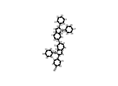 Fc1ccc(-c2cc3ccc(-c4ccc5cc(-c6ccccc6)n(-c6ccccc6)c5c4)cc3n2-c2ccccc2)cc1